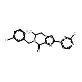 CC1Cn2cc(-c3ccnc(Cl)n3)nc2C(=O)N1Cc1cccc(Cl)c1